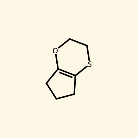 C1CC2=C(C1)SCCO2